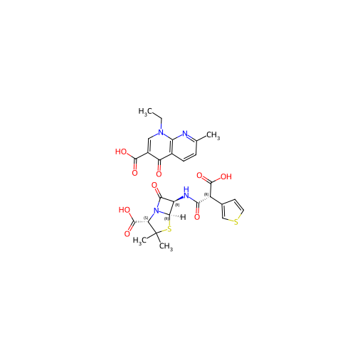 CC1(C)S[C@@H]2[C@H](NC(=O)[C@H](C(=O)O)c3ccsc3)C(=O)N2[C@H]1C(=O)O.CCn1cc(C(=O)O)c(=O)c2ccc(C)nc21